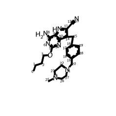 CCCCOc1nc(N)c2[nH]c(C#N)c(Cc3ccc(CN4CCN(C)CC4)cc3)c2n1